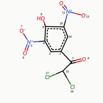 O=C(c1cc([N+](=O)[O-])c(O)c([N+](=O)[O-])c1)C(Cl)Cl